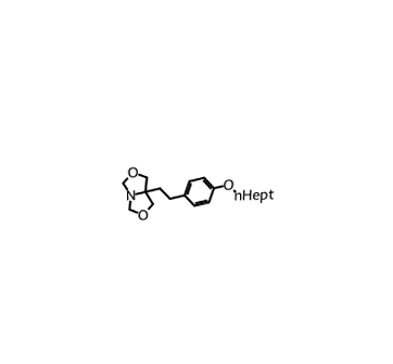 CCCCCCCOc1ccc(CCC23COCN2COC3)cc1